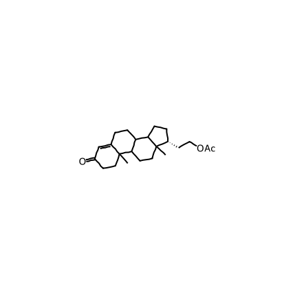 CC(=O)OCC[C@H]1CCC2C3CCC4=CC(=O)CCC4(C)C3CCC21C